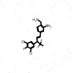 Bc1cc(/C=C/C(c2cc(Cl)c(F)c(Cl)c2)C(F)(F)F)ccc1CN